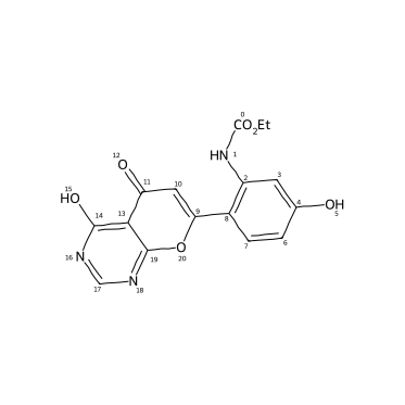 CCOC(=O)Nc1cc(O)ccc1-c1cc(=O)c2c(O)ncnc2o1